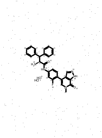 Cl.Cl.Cn1cc(-c2ccc(NC(=O)[C@@H](N)C(c3ccccc3)c3ccccc3)cc2F)c2cn[nH]c2c1=O